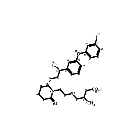 CC(CSCCN1C(=O)CCC[C@@H]1CC[C@@H](O)c1cccc(Oc2cccc(F)c2)c1)CC(=O)O